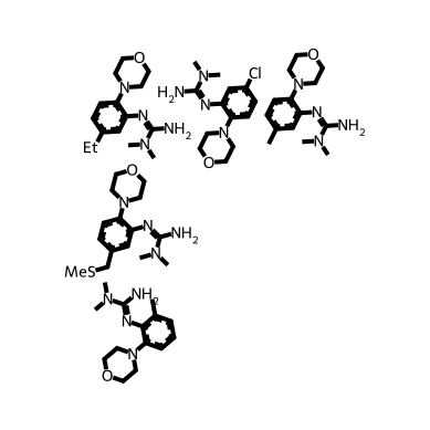 CCc1ccc(N2CCOCC2)c(N=C(N)N(C)C)c1.CN(C)C(N)=Nc1cc(Cl)ccc1N1CCOCC1.CSCc1ccc(N2CCOCC2)c(N=C(N)N(C)C)c1.Cc1ccc(N2CCOCC2)c(N=C(N)N(C)C)c1.Cc1cccc(N2CCOCC2)c1N=C(N)N(C)C